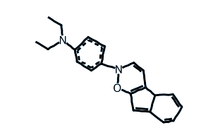 CCN(CC)c1ccc(N2C=CC3=C(C=C4C=CC=CC43)O2)cc1